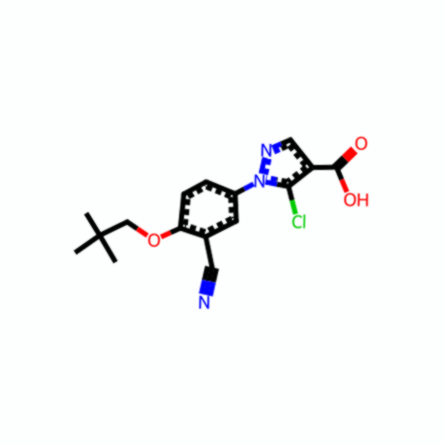 CC(C)(C)COc1ccc(-n2ncc(C(=O)O)c2Cl)cc1C#N